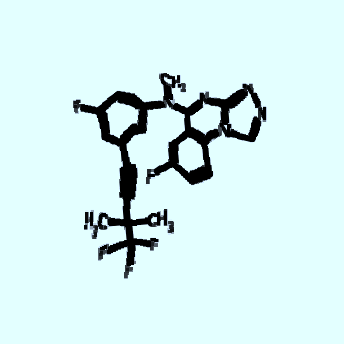 CN(c1cc(F)cc(C#CC(C)(C)C(F)(F)F)c1)c1nc2nncn2c2ccc(F)cc12